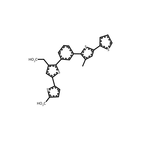 Cc1cc(-c2cccs2)sc1-c1cccc(-c2sc(-c3ccc(C(=O)O)s3)cc2CC(=O)O)c1